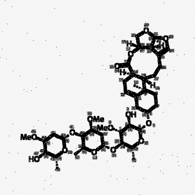 CO[C@@H]1[C@@H](O)[C@H](O[C@H]2CC[C@@]3(C)C(=CC[C@H]4C(=O)O[C@@H]5CO[C@]6(C)OC=C(CC[C@@H]43)[C@H]56)C2)O[C@H](C)[C@H]1O[C@H]1C[C@H](OC)[C@H](O[C@H]2C[C@H](OC)[C@H](O)[C@@H](C)O2)[C@H](C)O1